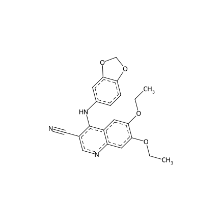 CCOc1cc2ncc(C#N)c(Nc3ccc4c(c3)OCO4)c2cc1OCC